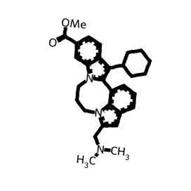 COC(=O)c1ccc2c(C3CCCCC3)c3n(c2c1)CCCn1c(CN(C)C)cc2cccc-3c21